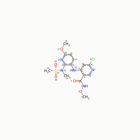 CONC(=O)c1cnc(Cl)cc1Nc1ccc(OC)nc1N(C)S(C)(=O)=O